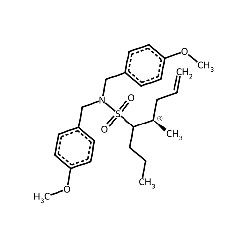 C=CC[C@@H](C)C(CCC)S(=O)(=O)N(Cc1ccc(OC)cc1)Cc1ccc(OC)cc1